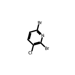 Clc1ccc(Br)nc1Br